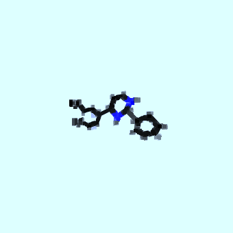 C=C/C=C(\C=C/C)c1ccnc(-c2ccccc2)n1